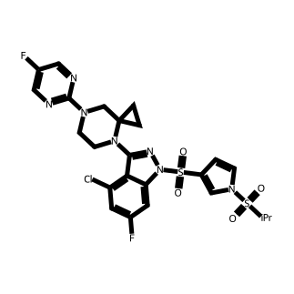 CC(C)S(=O)(=O)n1ccc(S(=O)(=O)n2nc(N3CCN(c4ncc(F)cn4)CC34CC4)c3c(Cl)cc(F)cc32)c1